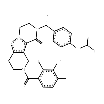 C[C@@H]1Cc2nn3c(c2CN1C(=O)c1ccc(Cl)c(C#N)c1Cl)C(=O)N([C@H](C)c1ccc(OC(F)F)cc1)CC3